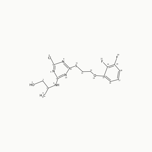 CC(CO)Nc1nc(Cl)nc(SCCOc2cccc(F)c2F)n1